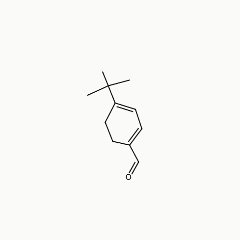 CC(C)(C)C1=CC=C(C=O)CC1